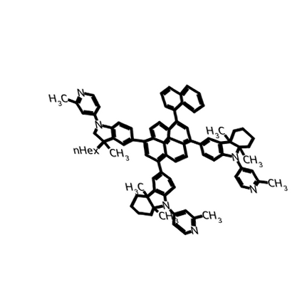 CCCCCCC1(C)CN(c2ccnc(C)c2)c2ccc(-c3cc(-c4ccc5c(c4)C4(C)CCCCC4(C)N5c4ccnc(C)c4)c4ccc5c(-c6ccc7c(c6)C6(C)CCCCC6(C)N7c6ccnc(C)c6)cc(-c6cccc7ccccc67)c6ccc3c4c56)cc21